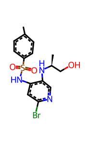 Cc1ccc(S(=O)(=O)Nc2cc(Br)ncc2N[C@@H](C)CO)cc1